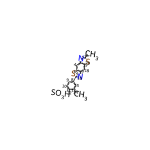 Cc1nc2cc3sc(-c4ccc(S(=O)(=O)O)c(C)c4)nc3cc2s1